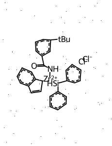 CC(C)(C)c1cccc(C(=O)[NH][Zr+2]([CH]2C=Cc3ccccc32)[SiH](c2ccccc2)c2ccccc2)c1.[Cl-].[Cl-]